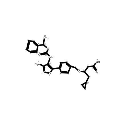 Cc1noc(-c2ccc(COC(CC(=O)O)CC3CC3)cc2)c1NC(=O)OC(C)c1ccccc1